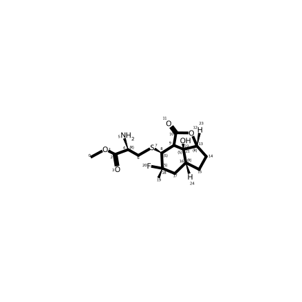 COC(=O)[C@@H](N)CS[C@H]1C2C(=O)O[C@@H]3CC[C@H](C[C@]1(C)F)[C@]23O